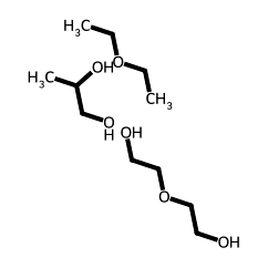 CC(O)CO.CCOCC.OCCOCCO